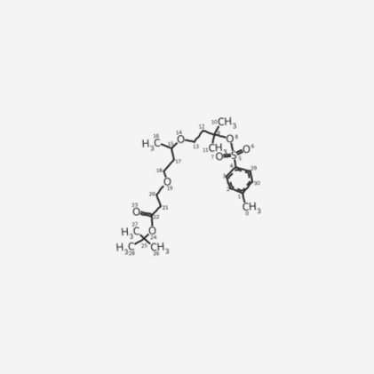 Cc1ccc(S(=O)(=O)OC(C)(C)CCOC(C)CCOCCC(=O)OC(C)(C)C)cc1